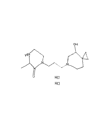 CC1NCCN(CCCN2CCC3(CC3)C(O)C2)C1=O.Cl.Cl